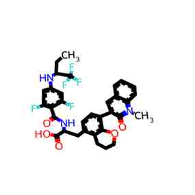 CCC(Nc1cc(F)c(C(=O)NC(Cc2ccc(-c3cc4ccccc4n(C)c3=O)c3c2CCCO3)C(=O)O)c(F)c1)C(F)(F)F